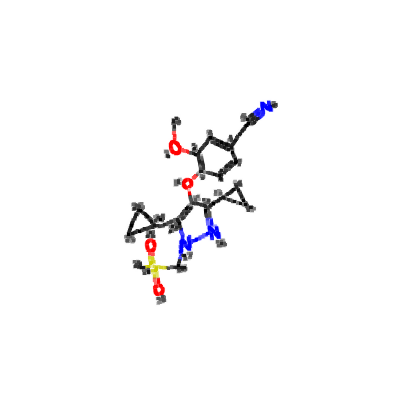 COc1cc(C#N)ccc1Oc1c(C2CC2)nn(CS(C)(=O)=O)c1C1CC1